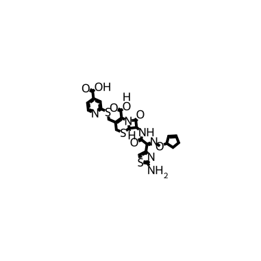 Nc1nc(C(=NOC2C=CCC2)C(=O)NC2C(=O)N3C(C(=O)O)=C(CSc4cc(C(=O)O)ccn4)CS[C@@H]23)cs1